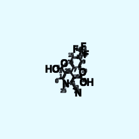 CC1=C(C(=O)O)C(c2ccc(C(F)(F)F)cc2)C(C(=O)O)=C(C#N)N1C